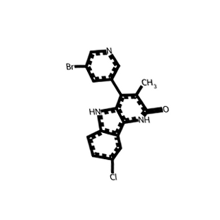 Cc1c(-c2cncc(Br)c2)c2[nH]c3ccc(Cl)cc3c2[nH]c1=O